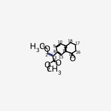 CO/C=C(/C(=O)OC)c1ccc2c(c1)C(=O)CCC2